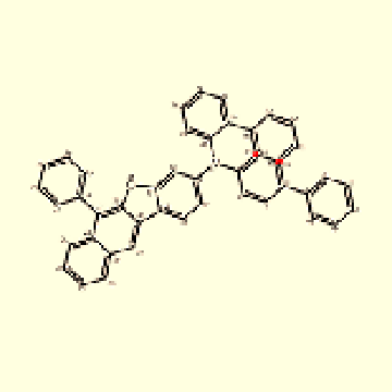 c1ccc(-c2ccc(N(c3ccc4c(c3)oc3c(-c5ccccc5)c5ccccc5cc34)c3ccccc3-c3ccccc3)cc2)cc1